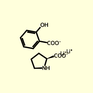 O=C([O-])[C@@H]1CCCN1.O=C([O-])c1ccccc1O.[Li+].[Li+]